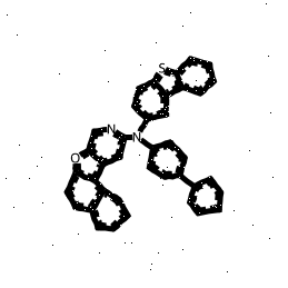 c1ccc(-c2ccc(N(c3ccc4sc5ccccc5c4c3)c3cc4c(cn3)oc3ccc5ccccc5c34)cc2)cc1